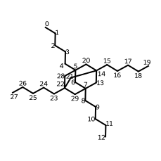 CCCCCC12CC3(CCCCC)CC(CCCCC)(C1)CC(CCCCC)(C2)C3